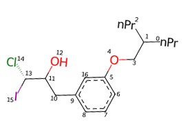 CCCC(CCC)COc1cccc(CC(O)[C@@H](Cl)I)c1